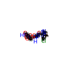 Cc1sc2c(c1C)C(c1ccc(Cl)cc1)=N[C@@H](CCC(=O)N1CCN(NC(=O)COc3cccc4c3C(=O)N(C3CCC(=O)NC3=O)C4=O)CC1)c1nnc(C)n1-2